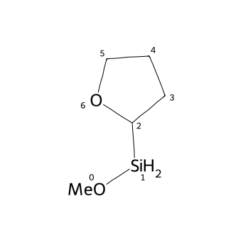 CO[SiH2]C1CCCO1